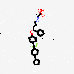 O=C(O)CNCCCC(Oc1ccc(C(F)(F)c2ccc(C3CCCC3)cc2)cc1)c1ccccc1